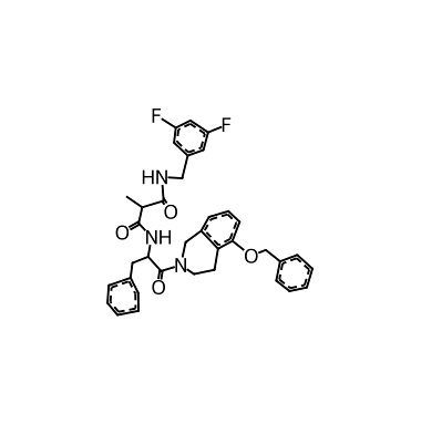 CC(C(=O)NCc1cc(F)cc(F)c1)C(=O)NC(Cc1ccccc1)C(=O)N1CCc2c(cccc2OCc2ccccc2)C1